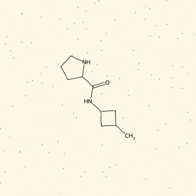 CC1CC(NC(=O)C2CCCN2)C1